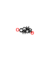 C[C@@]12CC[C@@H]3[C@H](CCC4=CC(=O)C=C[C@]43C)[C@H]1CCC2=O